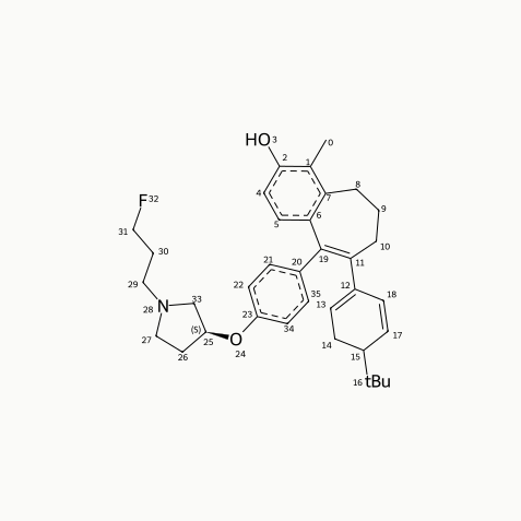 Cc1c(O)ccc2c1CCCC(C1=CCC(C(C)(C)C)C=C1)=C2c1ccc(O[C@H]2CCN(CCCF)C2)cc1